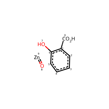 O=C(O)c1ccccc1O.[O]=[Zn]